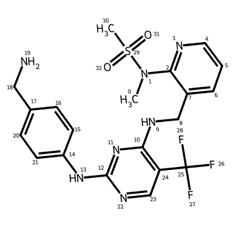 CN(c1ncccc1CNc1nc(Nc2ccc(CN)cc2)ncc1C(F)(F)F)S(C)(=O)=O